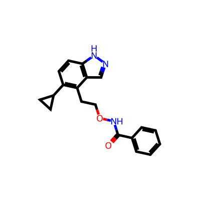 O=C(NOCCc1c(C2CC2)ccc2[nH]ncc12)c1ccccc1